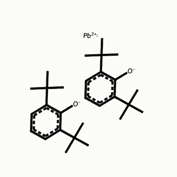 CC(C)(C)c1cccc(C(C)(C)C)c1[O-].CC(C)(C)c1cccc(C(C)(C)C)c1[O-].[Pb+2]